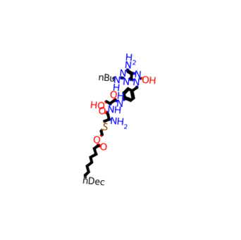 CCCCCCCCCCCCCCCCCC(=O)OCCSCC(N)C(=O)NC(CO)C(=O)Nc1ccc(Cn2c(O)nc3c(N)nc(NCCCC)nc32)cc1